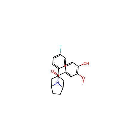 COc1cc(C(=O)N2C3CCC2CC(c2ccc(F)cc2)C3)ccc1O